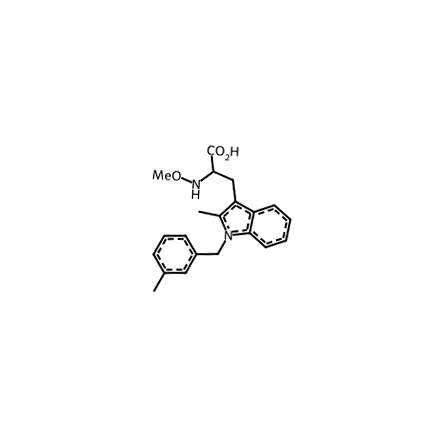 CONC(Cc1c(C)n(Cc2cccc(C)c2)c2ccccc12)C(=O)O